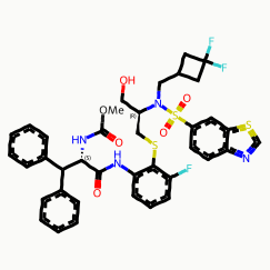 COC(=O)N[C@H](C(=O)Nc1cccc(F)c1SC[C@@H](CO)N(CC1CC(F)(F)C1)S(=O)(=O)c1ccc2ncsc2c1)C(c1ccccc1)c1ccccc1